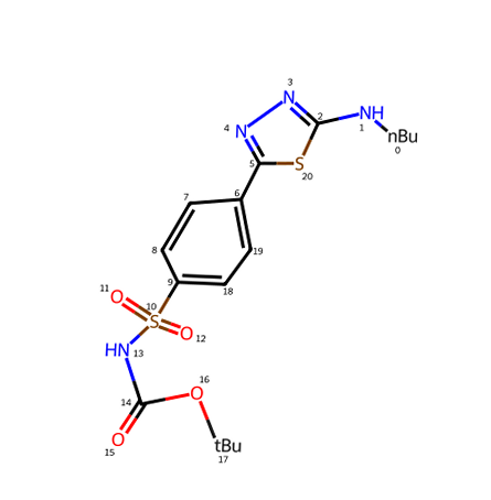 CCCCNc1nnc(-c2ccc(S(=O)(=O)NC(=O)OC(C)(C)C)cc2)s1